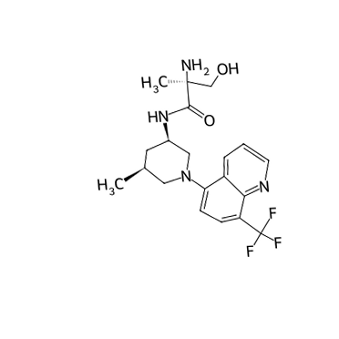 C[C@H]1C[C@@H](NC(=O)[C@@](C)(N)CO)CN(c2ccc(C(F)(F)F)c3ncccc23)C1